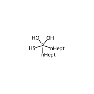 CCCCCCCP(O)(O)(S)CCCCCCC